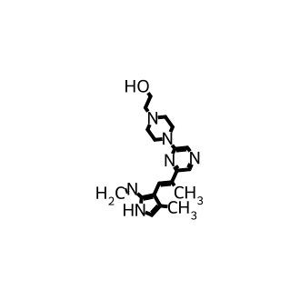 C=Nc1[nH]cc(C)c1/C=C(\C)c1cncc(N2CCN(CCO)CC2)n1